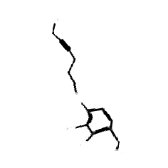 CCCc1c(OCCCC#CCO)ccc(CC=O)c1O